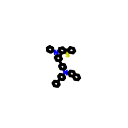 c1ccc(-c2ccc(N(c3ccc(-c4ccc5c(c4)c4c6sc7ccccc7c6ccc4n5-c4ccccc4)cc3)c3ccc4ccccc4c3)cc2)cc1